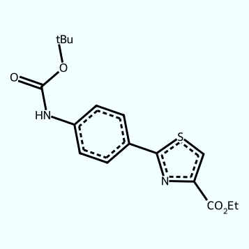 CCOC(=O)c1csc(-c2ccc(NC(=O)OC(C)(C)C)cc2)n1